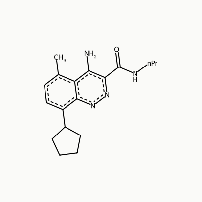 CCCNC(=O)c1nnc2c(C3CCCC3)ccc(C)c2c1N